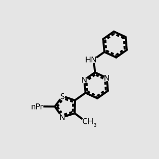 CCCc1nc(C)c(-c2ccnc(Nc3ccccc3)n2)s1